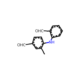 Cc1cc(C=O)ccc1Nc1ccccc1C=O